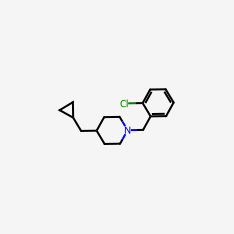 Clc1ccccc1CN1CCC(CC2CC2)CC1